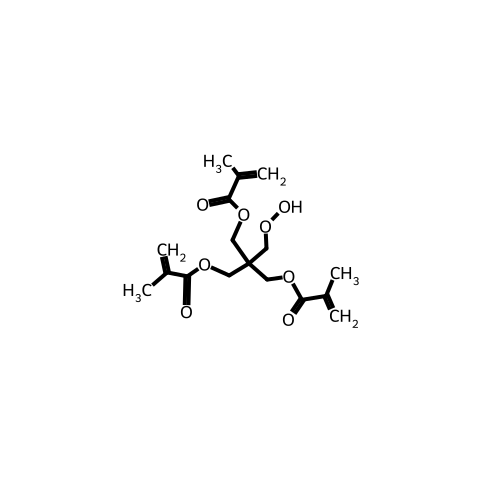 C=C(C)C(=O)OCC(COO)(COC(=O)C(=C)C)COC(=O)C(=C)C